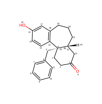 O=C1CC[C@@]2(Cc3ccccc3)c3ccc(O)cc3CCC[C@@H]2C1